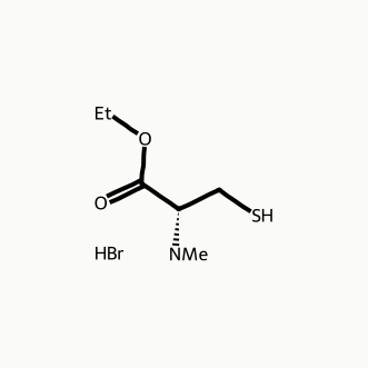 Br.CCOC(=O)[C@H](CS)NC